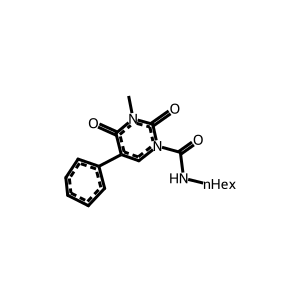 CCCCCCNC(=O)n1cc(-c2ccccc2)c(=O)n(C)c1=O